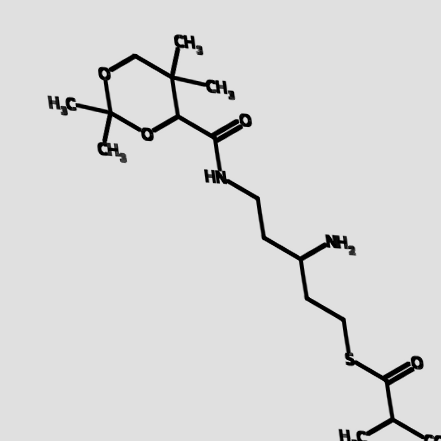 CC(C(=O)O)C(=O)SCCC(N)CCNC(=O)C1OC(C)(C)OCC1(C)C